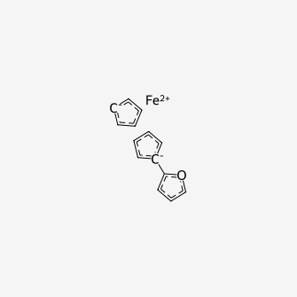 [Fe+2].c1cc[cH-]c1.c1coc(-[c-]2cccc2)c1